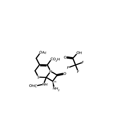 CC(=O)OCC1=C(C(=O)O)N2C(=O)[C@@H](N)C2(NC=O)SC1.O=C(O)C(F)(F)F